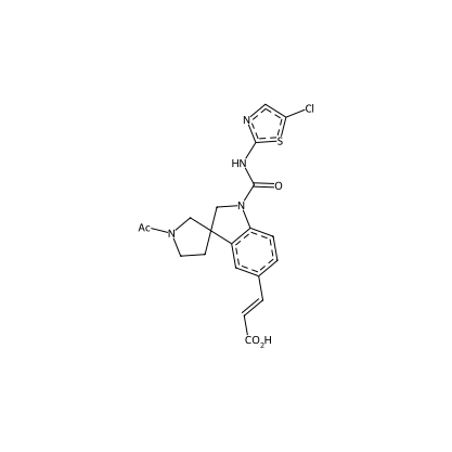 CC(=O)N1CCC2(C1)CN(C(=O)Nc1ncc(Cl)s1)c1ccc(C=CC(=O)O)cc12